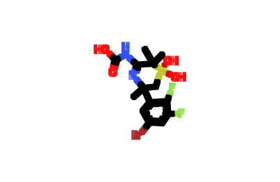 CC1(c2cc(Br)cc(F)c2F)CS(O)(O)C(C)(C)C(NC(=O)O)=N1